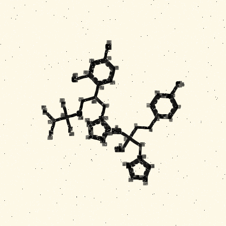 CC(C)(C)C(O)(CCc1ccc(Cl)cc1)Cn1cncn1.FC(F)C(F)(F)OCC(Cn1cncn1)c1ccc(Cl)cc1Cl